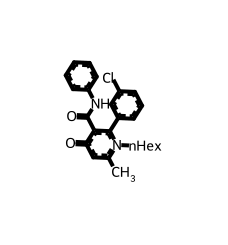 CCCCCCn1c(C)cc(=O)c(C(=O)Nc2ccccc2)c1-c1cccc(Cl)c1